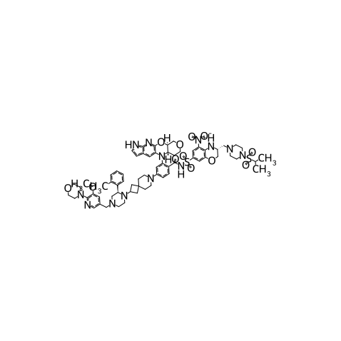 COc1cc(CN2CCN(C3CC4(CCN(c5ccc(C(=O)NS(=O)(=O)c6cc7c(c([N+](=O)[O-])c6)N[C@H](CN6CCN(S(=O)(=O)C(C)C)CC6)CO7)c(N6c7cc8cc[nH]c8nc7O[C@H]7COCC[C@@H]76)c5)CC4)C3)[C@H](c3ccccc3C)C2)cnc1N1CCOCC1